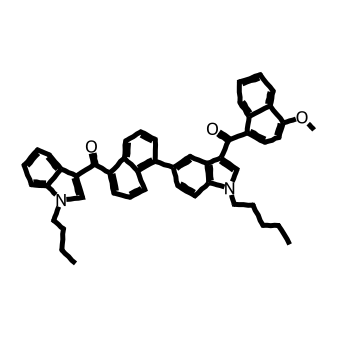 CCCCCn1cc(C(=O)c2ccc(OC)c3ccccc23)c2cc(-c3cccc4c(C(=O)c5cn(CCCC)c6ccccc56)cccc34)ccc21